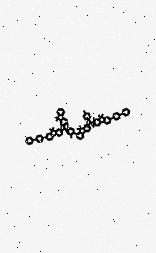 Cc1ccc(N(c2ccc3c(c2)C(C)(C)c2cc(-c4ccc(-c5ccccc5)cc4)ccc2-3)c2ccc3c(c2)C(C)(C)c2c(-c4ccc(N(c5ccc6c(c5)C(C)(C)c5ccccc5-6)c5ccc6c(c5)C(C)(C)c5cc(-c7ccc(-c8ccccc8)cc7)ccc5-6)cc4C)cccc2-3)cc1